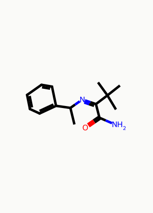 CC(N=C(C(N)=O)C(C)(C)C)c1ccccc1